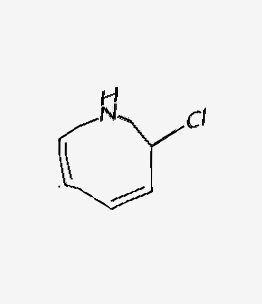 ClC1C=C[C]=CN1